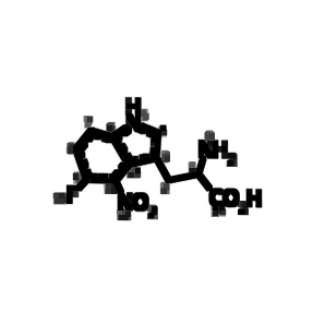 NC(Cc1c[nH]c2ccc(F)c([N+](=O)[O-])c12)C(=O)O